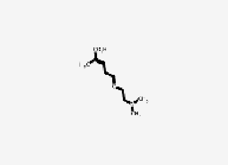 CC(=CCCOCCN(C)C)C(=O)O